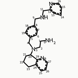 NCCN(Cc1ccc(CNCc2ccccn2)cc1)C1CCCc2cccnc21